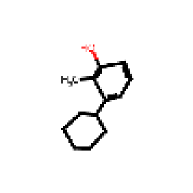 Cc1c(O)cccc1C1CCCCC1